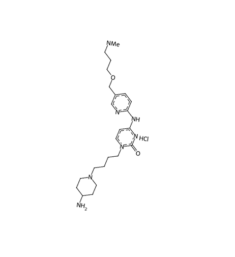 CNCCCOCc1ccc(Nc2ccn(CCCCN3CCC(N)CC3)c(=O)n2)nc1.Cl